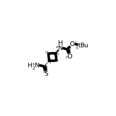 CC(C)(C)OC(=O)N[C@H]1C[C@H](C(N)=S)C1